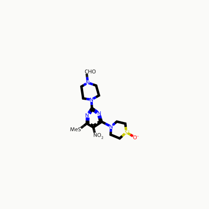 CSc1nc(N2CCN(C=O)CC2)nc(N2CC[S+]([O-])CC2)c1[N+](=O)[O-]